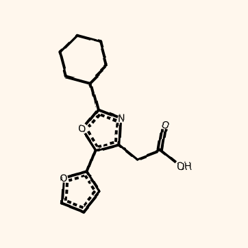 O=C(O)Cc1nc(C2CCCCC2)oc1-c1ccco1